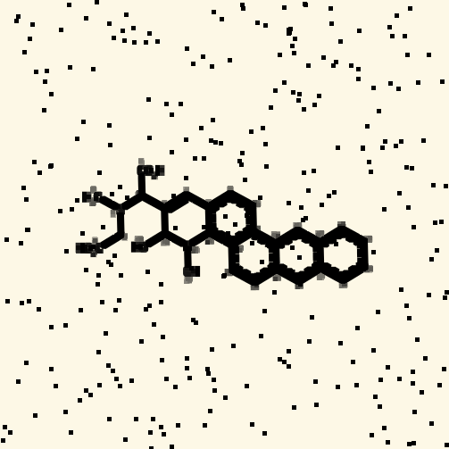 CN(CC(=O)O)C(C(=O)O)C1=Cc2ccc3c(ccc4cc5ccccc5cc43)c2N(O)C1O